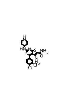 NC(=O)c1sc2nc(NC3CCNCC3)nc(-c3ccc(Cl)c(Cl)c3)c2c1N